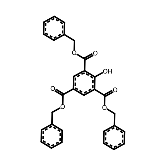 O=C(OCc1ccccc1)c1cc(C(=O)OCc2ccccc2)c(O)c(C(=O)OCc2ccccc2)c1